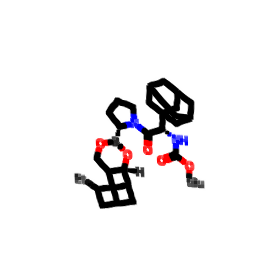 CCC1CC2CC3[C@H]4OB([C@@H]5CCCN5C(=O)[C@@H](NC(=O)OC(C)(C)C)C56CC7CC(CC(C7)C5)C6)OCC4C123